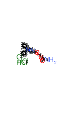 Cl.Cl.NC(=O)COCCOCCN1CCN(C(c2ccccc2)c2ccc(Cl)cc2)CC1